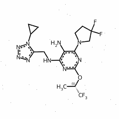 C[C@H](Oc1nc(NCc2nnnn2C2CC2)c(N)c(N2CCC(F)(F)C2)n1)C(F)(F)F